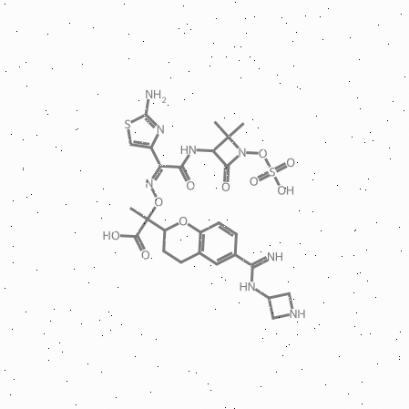 CC(ON=C(C(=O)NC1C(=O)N(OS(=O)(=O)O)C1(C)C)c1csc(N)n1)(C(=O)O)C1CCc2cc(C(=N)NC3CNC3)ccc2O1